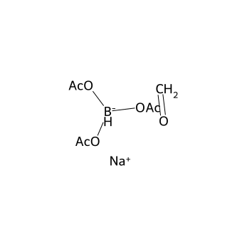 C=O.CC(=O)O[BH-](OC(C)=O)OC(C)=O.[Na+]